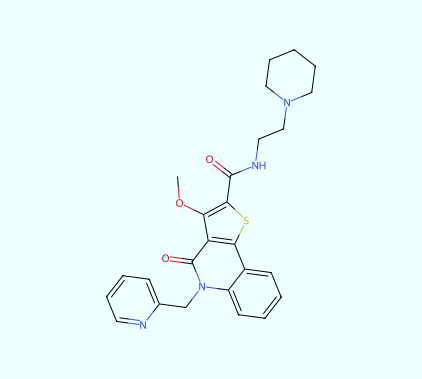 COc1c(C(=O)NCCN2CCCCC2)sc2c1c(=O)n(Cc1ccccn1)c1ccccc21